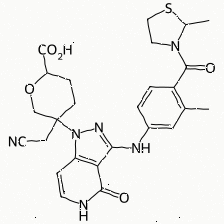 Cc1cc(Nc2nn(C3(CC#N)CCC(C(=O)O)OC3)c3cc[nH]c(=O)c23)ccc1C(=O)N1CCSC1C